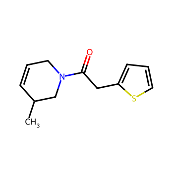 CC1C=CCN(C(=O)Cc2cccs2)C1